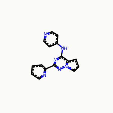 c1ccc(-c2nc(Nc3ccncc3)c3cccn3n2)nc1